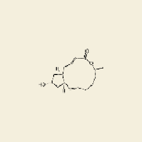 C[C@H]1CCC/C=C/[C@@H]2C[C@H](O)C[C@H]2C/C=C/C(=O)O1